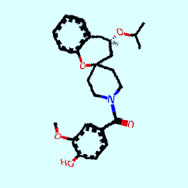 COc1cc(C(=O)N2CCC3(CC2)C[C@@H](OC(C)C)c2ccccc2O3)ccc1O